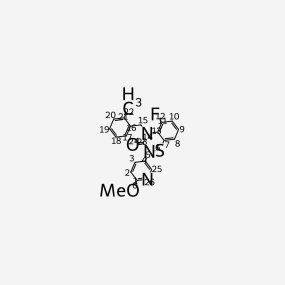 COc1ccc(N2Sc3cccc(F)c3N(Cc3ccccc3C)C2=O)cn1